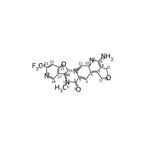 CN(C(=O)c1cc2c3c(c(N)nc2cn1)COC3)[C@@H]1COc2cc(C(F)(F)F)ncc21